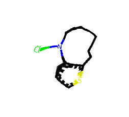 ClN1CCCCc2sccc21